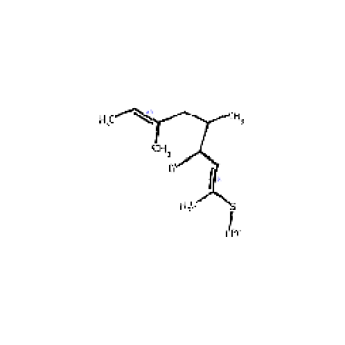 C/C=C(\C)CC(C)C(Cl)/C=C(\C)SCCC